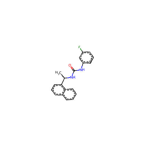 CC(NC(=O)Nc1cccc(F)c1)c1cccc2ccccc12